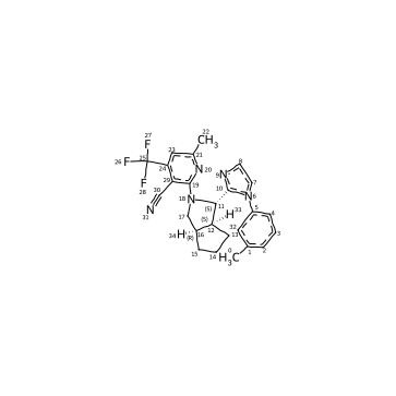 Cc1cccc(-n2ccnc2[C@@H]2[C@H]3CCC[C@H]3CN2c2nc(C)cc(C(F)(F)F)c2C#N)c1